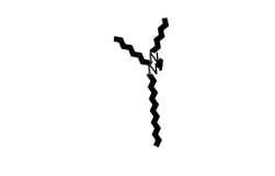 CCCCCCCCCCCCC[n+]1ccn(CCCCCCC)c1CCCCCCC